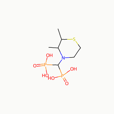 CC1SCCN(C(P(=O)(O)O)P(=O)(O)O)C1C